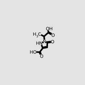 CC(C(=O)O)n1[nH]c(C(=O)O)cc1=O